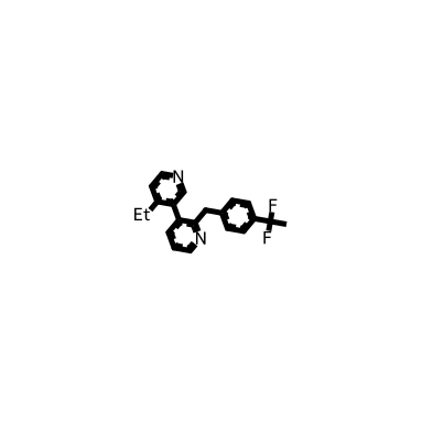 CCc1ccncc1-c1cccnc1Cc1ccc(C(C)(F)F)cc1